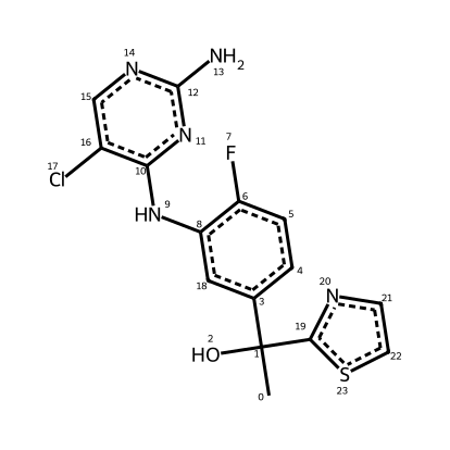 CC(O)(c1ccc(F)c(Nc2nc(N)ncc2Cl)c1)c1nccs1